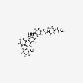 COCCN1CCN(CCc2ccc(Nc3ncc4c(n3)-c3ccccc3C(c3ccccc3Cl)C4)cc2)CC1